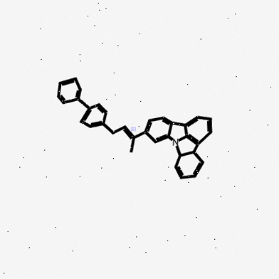 C/C(=C\Cc1ccc(-c2ccccc2)cc1)c1ccc2c3cccc4c3n(c2c1)C1C=CC=CC41